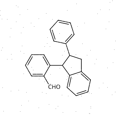 O=Cc1ccccc1C1c2ccccc2CC1c1ccccc1